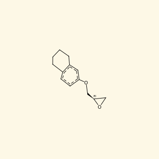 c1cc2c(cc1OC[C@H]1CO1)CCCC2